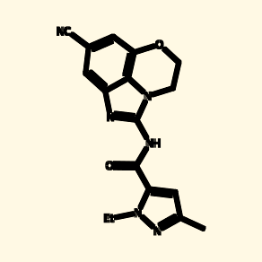 CCn1nc(C)cc1C(=O)Nc1nc2cc(C#N)cc3c2n1CCO3